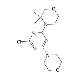 CC1(C)COCCN1c1nc(Cl)nc(N2CCOCC2)n1